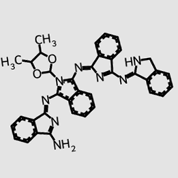 CC1OC(n2c(/N=C3\N=C(N)c4ccccc43)c3ccccc3c2/N=C2N=C(/N=C3\NCc4ccccc43)c3ccccc3\2)OC1C